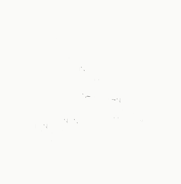 CC(C)(C)OC(=O)N[C@H]1C[C@@H](N(CC(=O)NCc2cccc(Cl)c2F)C(=O)Cn2nc(C(N)=O)c3ccccc32)C1